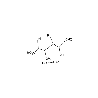 CC(=O)OO.O=CC(O)C(O)C(O)C(O)C(=O)O